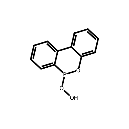 OOP1Oc2ccccc2-c2ccccc21